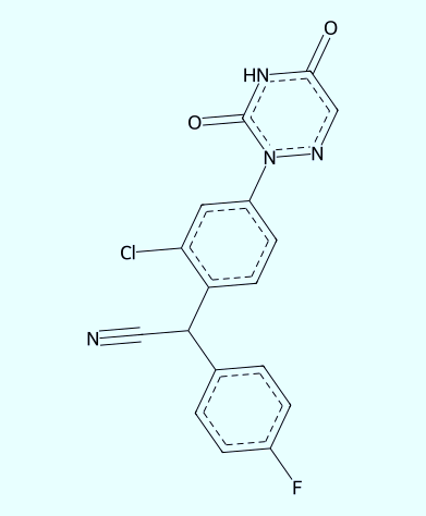 N#CC(c1ccc(F)cc1)c1ccc(-n2ncc(=O)[nH]c2=O)cc1Cl